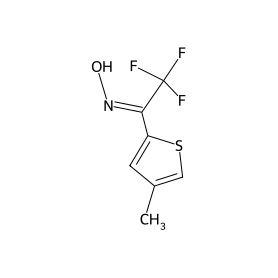 Cc1csc(C(=NO)C(F)(F)F)c1